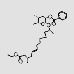 CCOC(=O)C[C@H](C)C/C=C/CCCCC[C@H](C)O[C@@H]1OC(C)[C@H](C)CC1OC(=O)c1ccccc1